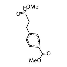 COC(=O)c1ccc(CC[PH](=O)OC)cc1